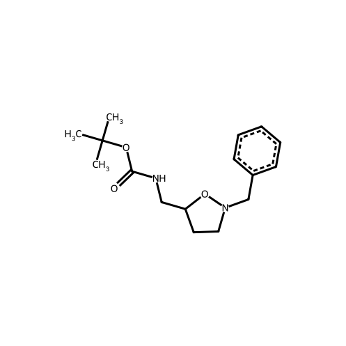 CC(C)(C)OC(=O)NCC1CCN(Cc2ccccc2)O1